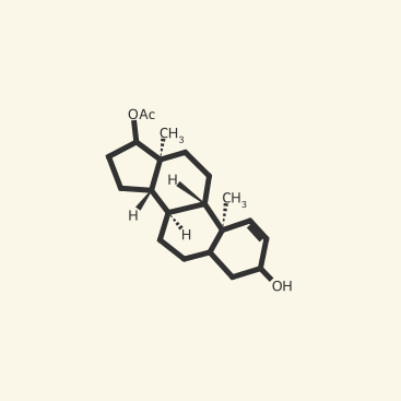 CC(=O)OC1CC[C@H]2[C@@H]3CCC4CC(O)C=C[C@]4(C)[C@H]3CC[C@]12C